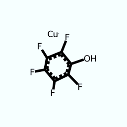 Oc1c(F)c(F)c(F)c(F)c1F.[Cu]